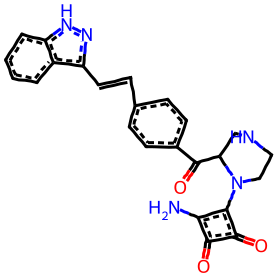 Nc1c(N2CCNCC2C(=O)c2ccc(/C=C/c3n[nH]c4ccccc34)cc2)c(=O)c1=O